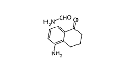 NC=O.Nc1cccc2c1CCCC2=O